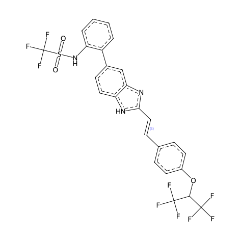 O=S(=O)(Nc1ccccc1-c1ccc2[nH]c(/C=C/c3ccc(OC(C(F)(F)F)C(F)(F)F)cc3)nc2c1)C(F)(F)F